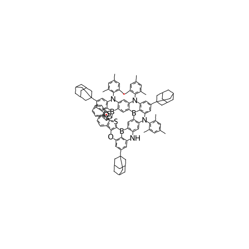 Cc1cc(C)c(N2c3cc4c(cc3B3c5sc6ccccc6c5Oc5cc(C67CC8CC(CC(C8)C6)C7)cc2c53)B2c3cc5c(cc3N(c3c(C)cc(C)cc3C)c3cc(C67CC8CC(CC(C8)C6)C7)cc(c32)N4c2c(C)cc(C)cc2C)Nc2cc(C34CC6CC(CC(C6)C3)C4)cc3c2B5c2sc4ccccc4c2O3)c(C)c1